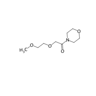 COCCOCC(=O)N1CCOCC1